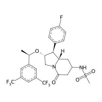 C[C@@H](O[C@H]1CN2C(=O)CC(NS(C)(=O)=O)C[C@H]2[C@@H]1c1ccc(F)cc1)c1cc(C(F)(F)F)cc(C(F)(F)F)c1